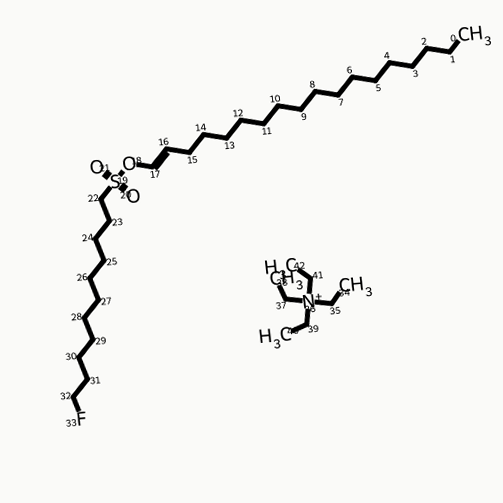 CCCCCCCCCCCCCCCCC=COS(=O)(=O)CCCCCCCCCCCF.CC[N+](CC)(CC)CC